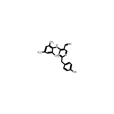 Cc1cc(C)c(Nc2nc(Cc3ccc(C#N)cc3)ncc2C=N)c(C)c1